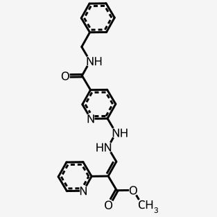 COC(=O)/C(=C/NNc1ccc(C(=O)NCc2ccccc2)cn1)c1ccccn1